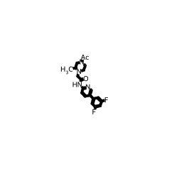 CC(=O)N1CCN(CC(=O)Nc2ccc(-c3cc(F)cc(F)c3)cn2)C(C)C1